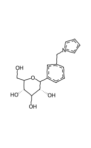 OCC1OC(c2cccc(Cn3cccc3)c2)[C@H](O)C(O)[C@@H]1O